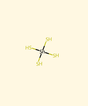 [SH][Sn]([SH])([SH])[SH]